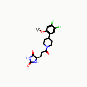 COc1cc(Cl)c(Cl)cc1C1CCN(C(=O)CC[C@H]2NC(=O)NC2=O)CC1